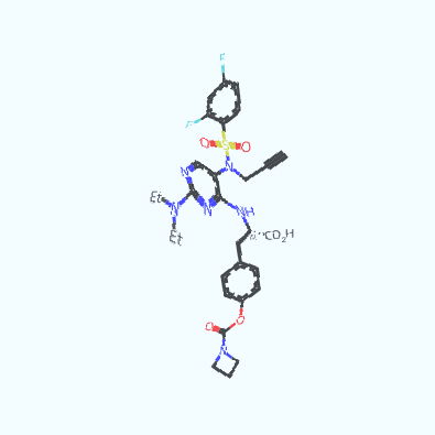 C#CCN(c1cnc(N(CC)CC)nc1N[C@@H](Cc1ccc(OC(=O)N2CCC2)cc1)C(=O)O)S(=O)(=O)c1ccc(F)cc1F